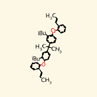 CC=Cc1ccccc1Oc1ccc(C(C)(C)c2ccc(Oc3ccccc3C=CC)c(C(C)CC)c2)cc1C(C)CC